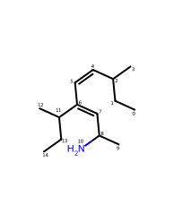 CCC(C)/C=C\C(=C\C(C)N)C(C)CC